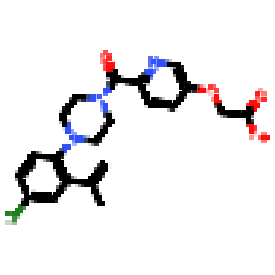 C=C(C)c1cc(Cl)ccc1N1CCN(C(=O)c2ccc(OCC(=O)O)cn2)CC1